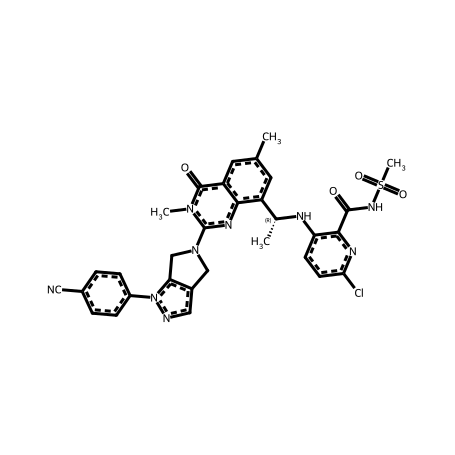 Cc1cc([C@@H](C)Nc2ccc(Cl)nc2C(=O)NS(C)(=O)=O)c2nc(N3Cc4cnn(-c5ccc(C#N)cc5)c4C3)n(C)c(=O)c2c1